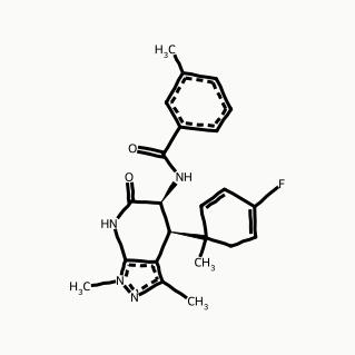 Cc1cccc(C(=O)N[C@@H]2C(=O)Nc3c(c(C)nn3C)[C@@H]2C2(C)C=CC(F)=CC2)c1